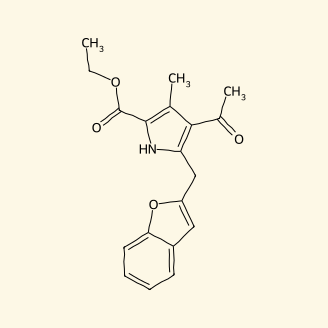 CCOC(=O)c1[nH]c(Cc2cc3ccccc3o2)c(C(C)=O)c1C